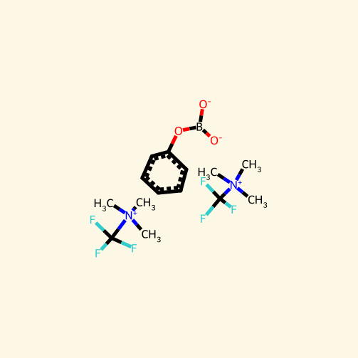 C[N+](C)(C)C(F)(F)F.C[N+](C)(C)C(F)(F)F.[O-]B([O-])Oc1ccccc1